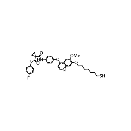 COc1cc2c(Oc3ccc(NC(=O)C4(C(=O)Nc5ccc(F)cc5)CC4)cc3)ccnc2cc1OCCCCCCCS